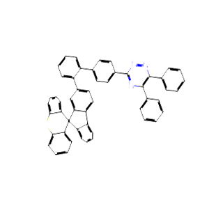 c1ccc(-c2nnc(-c3ccc(-c4ccccc4-c4ccc5c(c4)C4(c6ccccc6Sc6ccccc64)c4ccccc4-5)cc3)nc2-c2ccccc2)cc1